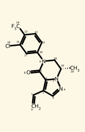 C=Cc1cnn2c1C(=O)N(c1ccc(C(F)(F)F)c(Cl)c1)C[C@@H]2C